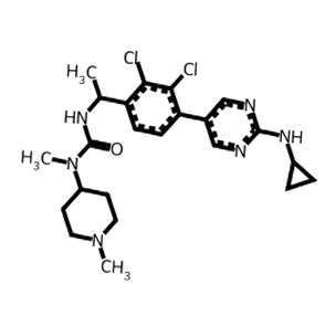 CC(NC(=O)N(C)C1CCN(C)CC1)c1ccc(-c2cnc(NC3CC3)nc2)c(Cl)c1Cl